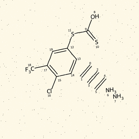 C=C.C=C.C=C.N.N.OC(=S)Sc1ccc(Cl)c(C(F)(F)F)c1